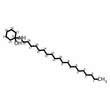 CCCCCCCCCCCCCCCCCCCCNC1(O)CCCCC1